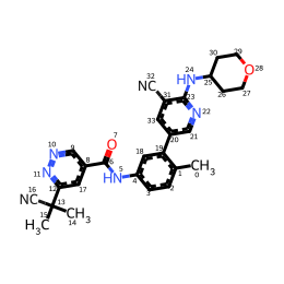 Cc1ccc(NC(=O)c2cnnc(C(C)(C)C#N)c2)cc1-c1cnc(NC2CCOCC2)c(C#N)c1